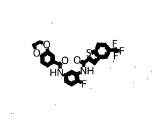 O=C(Nc1ccc(F)c(NC(=O)c2cc3cc(C(F)(F)F)ccc3s2)c1)c1ccc2c(c1)OCCO2